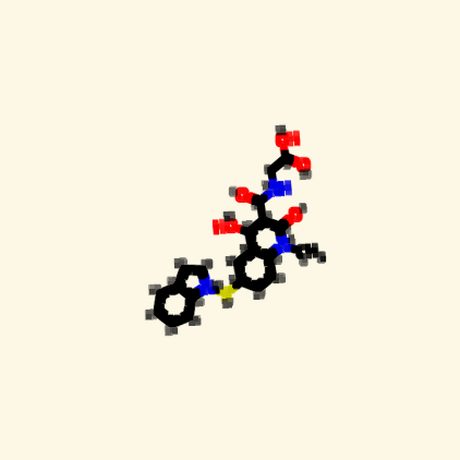 Cn1c(=O)c(C(=O)NCC(=O)O)c(O)c2cc(Sn3ccc4ccccc43)ccc21